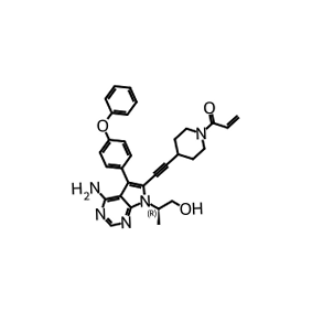 C=CC(=O)N1CCC(C#Cc2c(-c3ccc(Oc4ccccc4)cc3)c3c(N)ncnc3n2[C@H](C)CO)CC1